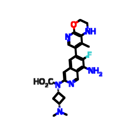 Cc1c(-c2cc3cc(N(C(=O)O)[C@H]4C[C@@H](N(C)C)C4)ncc3c(N)c2F)cnc2c1NCCO2